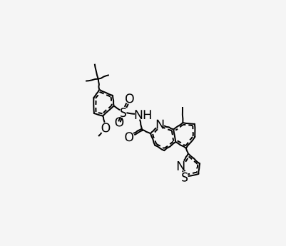 COc1ccc(C(C)(C)C)cc1S(=O)(=O)NC(=O)c1ccc2c(-c3ccsn3)ccc(C)c2n1